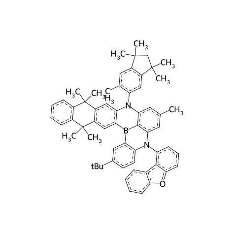 Cc1cc2c3c(c1)N(c1cccc4oc5ccccc5c14)c1ccc(C(C)(C)C)cc1B3c1cc3c(cc1N2c1cc2c(cc1C)C(C)(C)CC2(C)C)C(C)(C)c1ccccc1C3(C)C